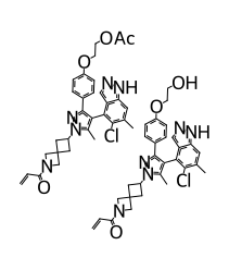 C=CC(=O)N1CC2(CC(n3nc(-c4ccc(OCCO)cc4)c(-c4c(Cl)c(C)cc5[nH]ncc45)c3C)C2)C1.C=CC(=O)N1CC2(CC(n3nc(-c4ccc(OCCOC(C)=O)cc4)c(-c4c(Cl)c(C)cc5[nH]ncc45)c3C)C2)C1